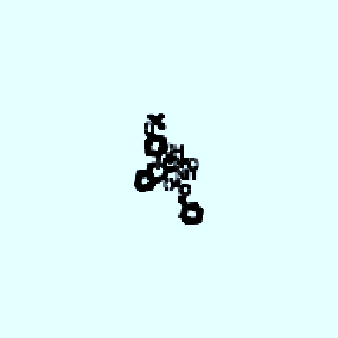 CC(C)(C)Oc1ccc([N+]2(C(=O)NC=O)Cc3ccccc3CC2CNC(=O)OCc2ccccc2)cc1